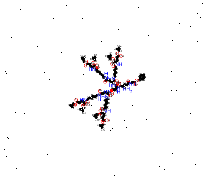 CC(C)COC(=O)CCC(NC(=O)CCCCCNC(=O)CCC(NC(=O)CCC(NC(=O)C(N)CCC(=O)NCC(=O)OCc1ccccc1)C(=O)NC(CCC(=O)NCCCCCC(=O)NC(CCC(=O)OCC(C)C)C(=O)OCC(C)C)C(=O)NCCCCCC(=O)NC(CCC(=O)OCC(C)C)C(=O)OCC(C)C)C(=O)NCCCCCC(=O)NC(CCC(=O)OCC(C)C)C(=O)OCC(C)C)C(=O)OCC(C)C